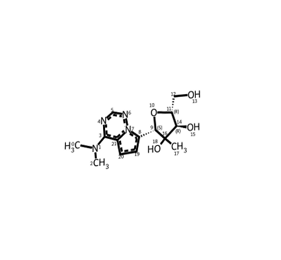 CN(C)c1ncnn2c([C@@H]3O[C@H](CO)[C@@H](O)C3(C)O)ccc12